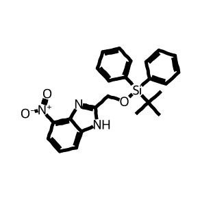 CC(C)(C)[Si](OCc1nc2c([N+](=O)[O-])cccc2[nH]1)(c1ccccc1)c1ccccc1